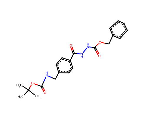 CC(C)(C)OC(=O)NCc1ccc(C(=O)NNC(=O)OCc2ccccc2)cc1